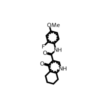 COc1ccc(NC(=O)c2c[nH]c3c(c2=O)CCCC3)c(F)c1